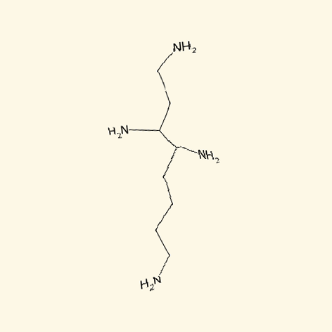 NCCCCC(N)C(N)CCN